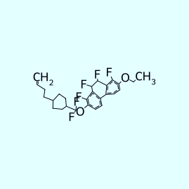 C=CCCC1CCC(C(F)(F)Oc2ccc3c(c2F)C(F)C(F)c2c-3ccc(OCC)c2F)CC1